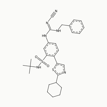 CC(C)(C)NS(=O)(=O)c1cc(N/C(=N/C#N)NCc2ccccc2)ccc1-c1cnc(C2CCCCC2)s1